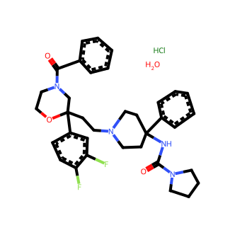 Cl.O.O=C(NC1(c2ccccc2)CCN(CCC2(c3ccc(F)c(F)c3)CN(C(=O)c3ccccc3)CCO2)CC1)N1CCCC1